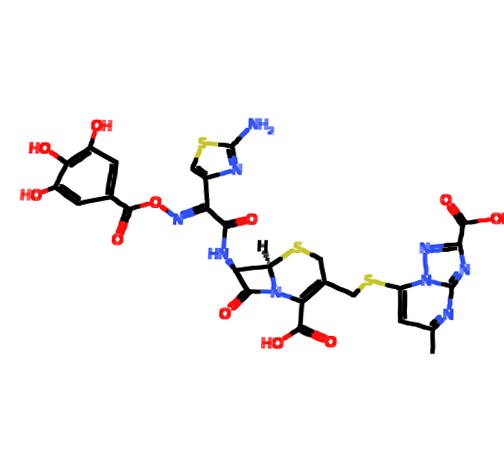 Cc1cc(SCC2=C(C(=O)O)N3C(=O)[C@@H](NC(=O)C(=NOC(=O)c4cc(O)c(O)c(O)c4)c4csc(N)n4)[C@H]3SC2)n2nc(C(=O)O)nc2n1